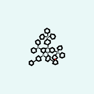 c1ccc(-c2ccc(N3c4ccc(-c5ccccc5)cc4B4c5cc([Si](c6ccccc6)(c6ccccc6)c6ccccc6)ccc5N(c5ccc([Si](c6ccccc6)(c6ccccc6)c6ccccc6)cc5)c5cc(N(c6ccccc6)c6ccccc6)cc3c54)cc2)cc1